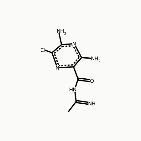 CC(=N)NC(=O)c1nc(Cl)c(N)nc1N